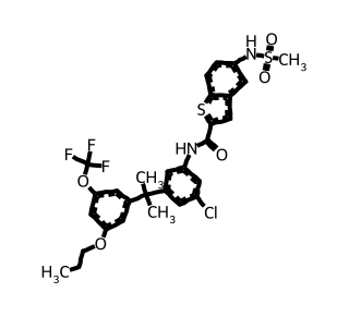 CCCOc1cc(OC(F)(F)F)cc(C(C)(C)c2cc(Cl)cc(NC(=O)c3cc4cc(NS(C)(=O)=O)ccc4s3)c2)c1